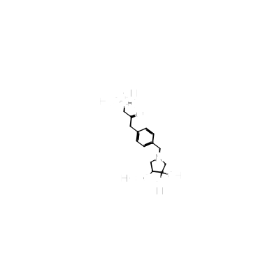 CC1(C)CN(Cc2ccc(CC(=O)C[Si](C)(C)C)cc2)CC1C(=O)O